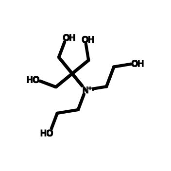 OCC[N+](CCO)C(CO)(CO)CO